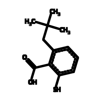 CC(C)(C)Cc1cccc(S)c1C(=O)O